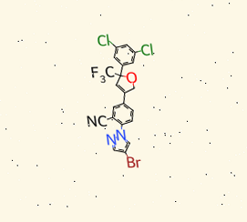 N#Cc1cc(C2=CC(c3cc(Cl)cc(Cl)c3)(C(F)(F)F)OC2)ccc1-n1cc(Br)cn1